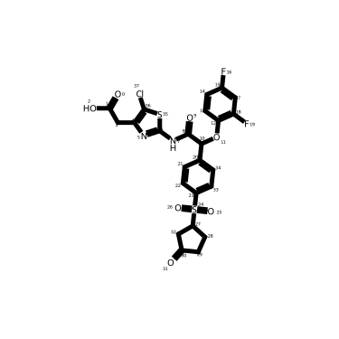 O=C(O)Cc1nc(NC(=O)C(Oc2ccc(F)cc2F)c2ccc(S(=O)(=O)C3CCC(=O)C3)cc2)sc1Cl